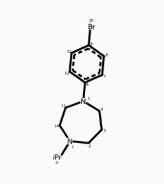 CC(C)N1CCCN(c2ccc(Br)cc2)CC1